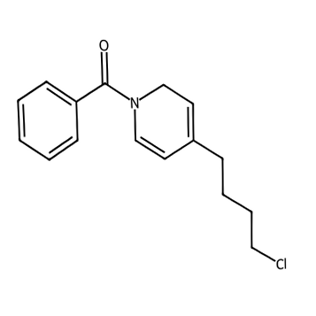 O=C(c1ccccc1)N1C=CC(CCCCCl)=CC1